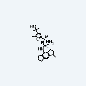 Cc1oc([S@@](N)(=O)=NC(=O)Nc2c3c(cc4c2CCC4C)CCC3)cc1C(C)(C)O